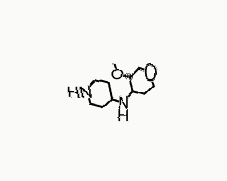 CO[C@H]1COCCC1NC1CCNCC1